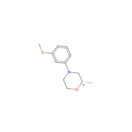 CSc1cccc(N2CCO[C@@H](C)C2)c1